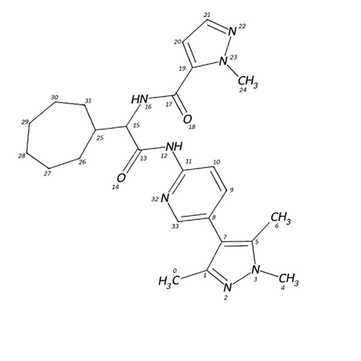 Cc1nn(C)c(C)c1-c1ccc(NC(=O)C(NC(=O)c2ccnn2C)C2CCCCCC2)nc1